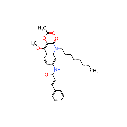 CCCCCCCCn1c(=O)c(OC(C)=O)c(OC)c2ccc(NC(=O)C=Cc3ccccc3)cc21